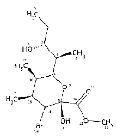 CC[C@@H](O)[C@@H](C)C1O[C@](O)(C(=O)OC)C(Br)[C@@H](C)[C@H]1C